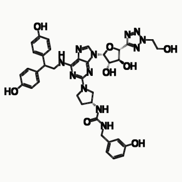 O=C(NCc1cccc(O)c1)N[C@@H]1CCN(c2nc(NCC(c3ccc(O)cc3)c3ccc(O)cc3)c3ncn([C@@H]4O[C@H](c5nnn(CCO)n5)[C@@H](O)[C@@H]4O)c3n2)C1